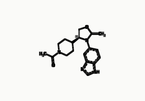 C=C1OC[C@H](C2CCN(C(C)=O)CC2)N1c1ccc2[nH]cnc2c1